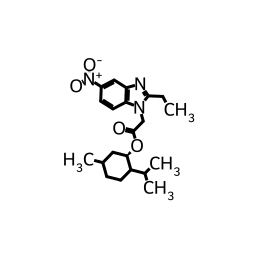 CCc1nc2cc([N+](=O)[O-])ccc2n1CC(=O)O[C@@H]1CC(C)CCC1C(C)C